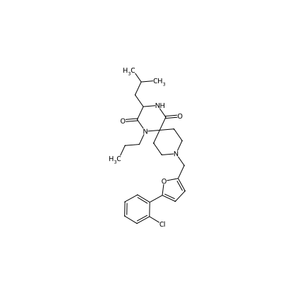 CCCN1C(=O)C(CC(C)C)NC(=O)C12CCN(Cc1ccc(-c3ccccc3Cl)o1)CC2